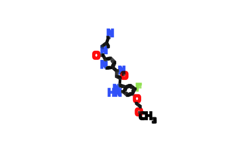 COCCOc1cc2[nH]nc(-c3cc(-c4ccc(C(=O)N5CC(C#N)C5)nc4)no3)c2cc1F